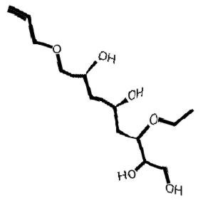 C=CCOC[C@@H](O)C[C@@H](O)C[C@@H](OCC)C(O)CO